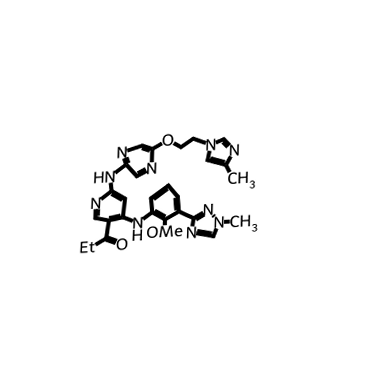 CCC(=O)c1cnc(Nc2cnc(OCCn3cnc(C)c3)cn2)cc1Nc1cccc(-c2ncn(C)n2)c1OC